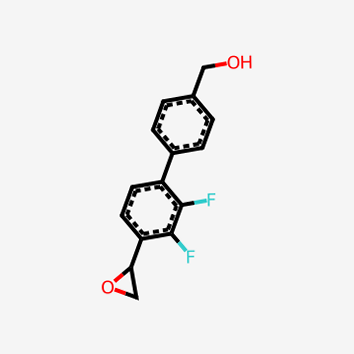 OCc1ccc(-c2ccc(C3CO3)c(F)c2F)cc1